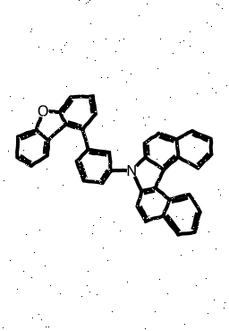 c1cc(-c2cccc3oc4ccccc4c23)cc(-n2c3ccc4ccccc4c3c3c4ccccc4ccc32)c1